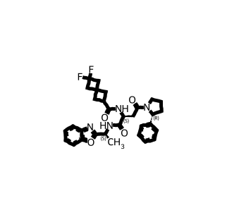 C[C@H](NC(=O)[C@H](CC(=O)N1CCC[C@@H]1c1ccccc1)NC(=O)C1CC2(C1)CC(F)(F)C2)c1nc2ccccc2o1